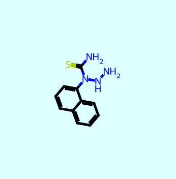 NNN(C(N)=S)c1cccc2ccccc12